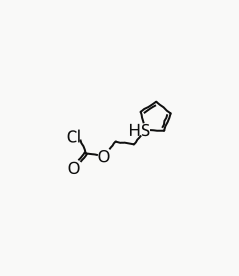 O=C(Cl)OCC[SH]1C=CC=C1